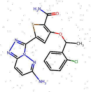 CC(Oc1cc(-c2nnc3ccc(N)nn23)sc1C(N)=O)c1ccccc1Cl